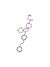 CC(C)(C)OC(=O)N1CCN(CC(c2ccc(CCc3ccccc3)cc2)C2(O)CCCCC2)CC1